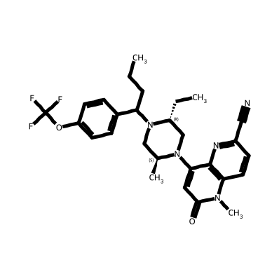 CCCC(c1ccc(OC(F)(F)F)cc1)N1C[C@H](C)N(c2cc(=O)n(C)c3ccc(C#N)nc23)C[C@H]1CC